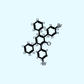 [O]c1c(-c2ccc(Br)cc2)c(-c2ccccc2)cc(-c2ccccc2)c1-c1ccc(Br)cc1